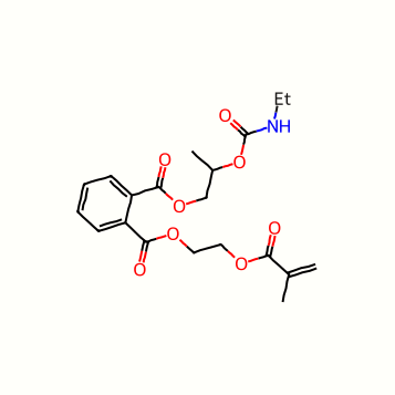 C=C(C)C(=O)OCCOC(=O)c1ccccc1C(=O)OCC(C)OC(=O)NCC